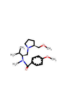 COC[C@@H]1CCCN1C[C@H](C(C)C)N(C)C(=O)c1ccc(OC)cc1